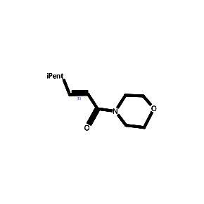 CCCC(C)/C=C/C(=O)N1CCOCC1